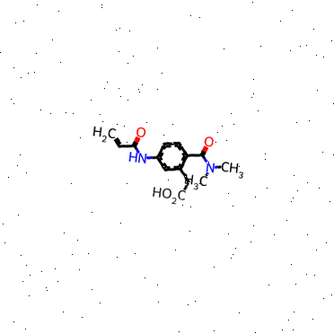 C=CC(=O)Nc1ccc(C(=O)N(C)C)c(CC(=O)O)c1